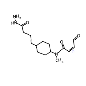 CN(C(=O)/C=C\C=O)C1CCC(CCCC(=O)NN)CC1